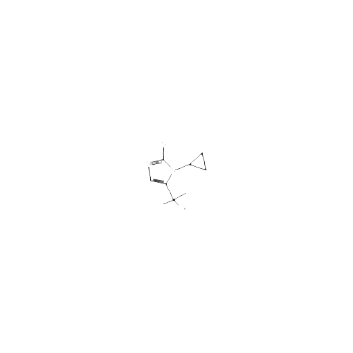 O=[N+]([O-])c1ncc(C(O)(O)O)n1C1CC1